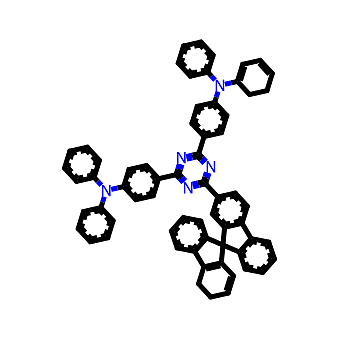 C1=CCCC(N(c2ccccc2)c2ccc(-c3nc(-c4ccc(N(c5ccccc5)c5ccccc5)cc4)nc(-c4ccc5c(c4)C4(C6=C(CCC=C6)c6ccccc64)c4ccccc4-5)n3)cc2)=C1